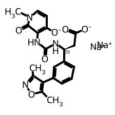 Cc1noc(C)c1-c1cccc([C@H](CC(=O)[O-])NC(=O)Nc2c([O-])ccn(C)c2=O)c1.[Na+].[Na+]